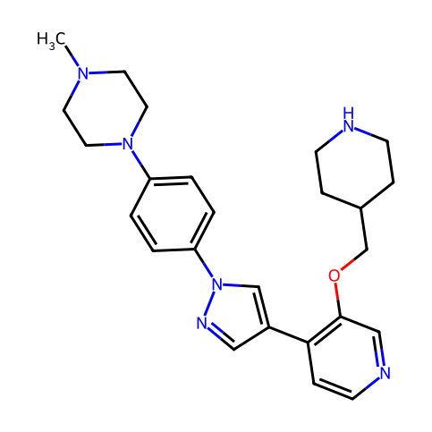 CN1CCN(c2ccc(-n3cc(-c4ccncc4OCC4CCNCC4)cn3)cc2)CC1